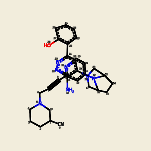 N#CC1CCCN(CC#Cc2cc(N3C4CCC3CN(c3cc(-c5ccccc5O)nnc3N)C4)ccn2)C1